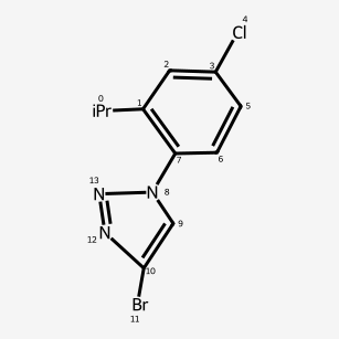 CC(C)c1cc(Cl)ccc1-n1cc(Br)nn1